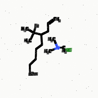 C=CCC(CCCCCCCCCCCCCC)C(C)(C)CC.CN(C)C.Cl